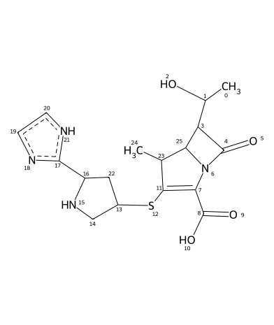 CC(O)C1C(=O)N2C(C(=O)O)=C(SC3CNC(c4ncc[nH]4)C3)C(C)C12